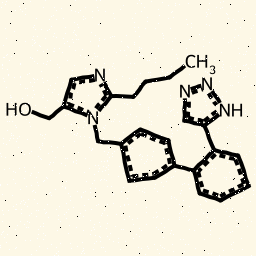 CCCCc1ncc(CO)n1Cc1ccc(-c2ccccc2-c2cnn[nH]2)cc1